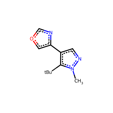 Cn1ncc(-c2cocn2)c1C(C)(C)C